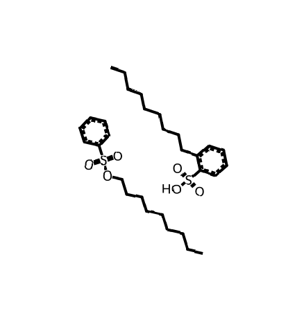 CCCCCCCCCOS(=O)(=O)c1ccccc1.CCCCCCCCCc1ccccc1S(=O)(=O)O